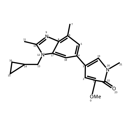 COc1cc(-c2cc(C)c3nc(C)n(CC4CC4)c3c2)cn(C)c1=O